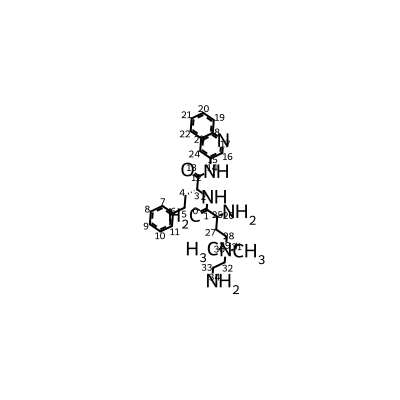 C=C(N[C@H](CCc1ccccc1)C(=O)Nc1cnc2ccccc2c1)[C@@H](N)CC[N+](C)(C)CCN